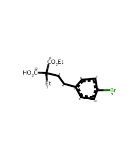 CCOC(=O)C(CC)(CCc1ccc(Br)cc1)C(=O)O